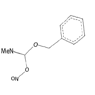 CNC(OCc1ccccc1)ON=O